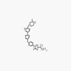 Cc1nc(C(N)=O)nn1-c1ccc(Cc2ccc(-c3ccc(CN4CCN(C)C(C)C4)nc3)cc2)cc1